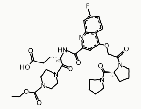 CCOC(=O)N1CCN(C(=O)[C@H](CCC(=O)O)NC(=O)c2cc(OCC(=O)N3CCC[C@H]3C(=O)N3CCCC3)c3ccc(F)cc3n2)CC1